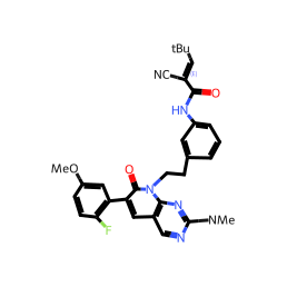 CNc1ncc2cc(-c3cc(OC)ccc3F)c(=O)n(CCc3cccc(NC(=O)/C(C#N)=C/C(C)(C)C)c3)c2n1